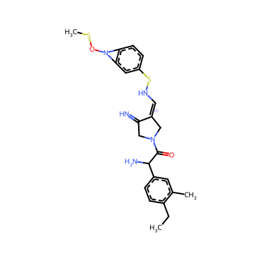 CCc1ccc(C(N)C(=O)N2CC(=N)/C(=C\NSc3ccc4c(c3)N4OSC)C2)cc1C